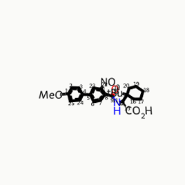 COc1ccc(-c2ccc(C(=O)N[C@H](C(=O)O)C3(C(C)(C)C)CCCCC3)c([N+](=O)[O-])c2)cc1